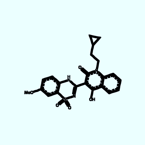 COc1ccc2c(c1)S(=O)(=O)N=C(c1c(O)c3ccccc3n(CCC3CC3)c1=O)N2